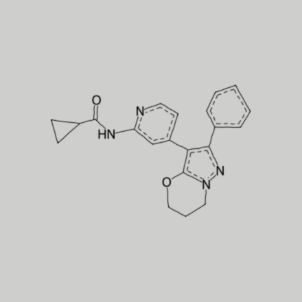 O=C(Nc1cc(-c2c(-c3ccccc3)nn3c2OCCC3)ccn1)C1CC1